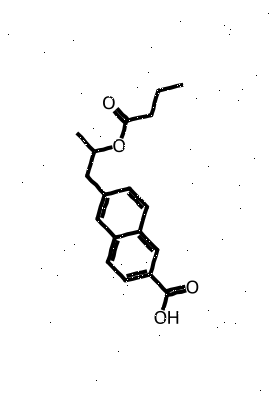 CCCC(=O)OC(C)Cc1ccc2cc(C(=O)O)ccc2c1